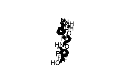 [2H]C([2H])([2H])n1nncc1-c1cccc(-n2nc(C(=O)N[C@H](C)c3cccc(C(F)(F)CO)c3F)ccc2=O)c1